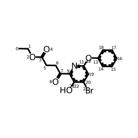 CCOC(=O)CCC(=O)c1nc(Oc2ccccc2)cc(Br)c1O